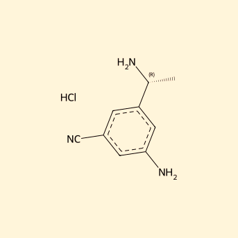 C[C@@H](N)c1cc(N)cc(C#N)c1.Cl